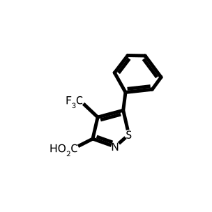 O=C(O)c1nsc(-c2ccccc2)c1C(F)(F)F